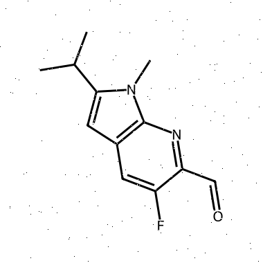 CC(C)c1cc2cc(F)c(C=O)nc2n1C